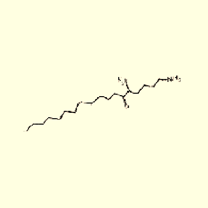 [CH2]CCCCCCCCCCCC(=O)[C@@H](N)CCCCN